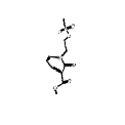 COC(=O)c1cccn(CCOS(C)(=O)=O)c1=O